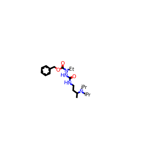 CCN(NC(=O)NCCC(C)N(C(C)C)C(C)C)C(=O)OCc1ccccc1